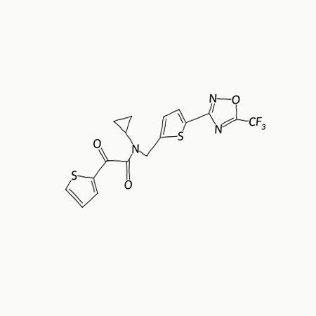 O=C(C(=O)N(Cc1ccc(-c2noc(C(F)(F)F)n2)s1)C1CC1)c1cccs1